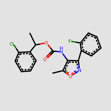 Cc1onc(-c2ccccc2F)c1NC(=O)OC(C)c1ccccc1Cl